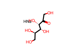 O=C(CO)[C@@H](O)[C@H](O)[C@H](O)CO.[NaH]